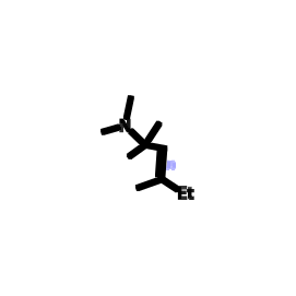 CC/C(C)=C/C(C)(C)N(C)C